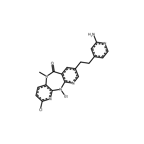 CCN1c2ncc(CCc3ccnc(N)c3)cc2C(=O)N(C)c2ccc(Cl)nc21